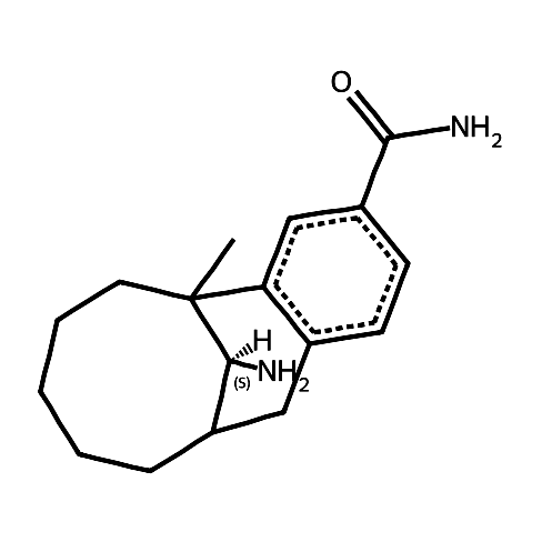 CC12CCCCCC(Cc3ccc(C(N)=O)cc31)[C@@H]2N